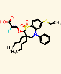 CCCCC1(CCCC)CN(c2ccccc2)c2cc(SCC)ccc2S(=O)(=O)C1O/C=C(\F)C(=O)O